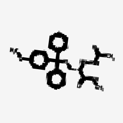 CNC(=O)[C@H](CSC(c1ccccc1)(c1ccccc1)c1ccc(OC)cc1)NNC(C)=O